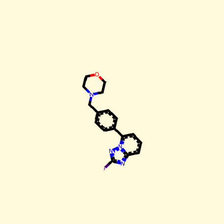 Ic1nc2cccc(-c3ccc(CN4CCOCC4)cc3)n2n1